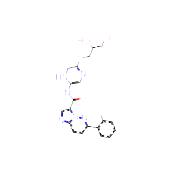 O=C(NC1=CN=C(OCC(O)CO)CN1)c1cnc2ccc(-c3ccccc3C(F)(F)F)nn12